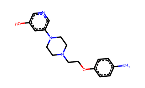 Nc1ccc(OCCN2CCN(c3cncc(O)c3)CC2)cc1